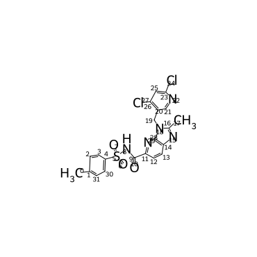 Cc1ccc(S(=O)(=O)NC(=O)c2ccc3nc(C)n(Cc4cnc(Cl)cc4Cl)c3n2)cc1